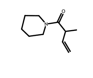 C=CC(C)C(=O)N1CCCCC1